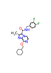 Cc1nc2c(OCC3CCCCC3)nccn2c1C(=O)NCc1ccc(F)c(F)c1